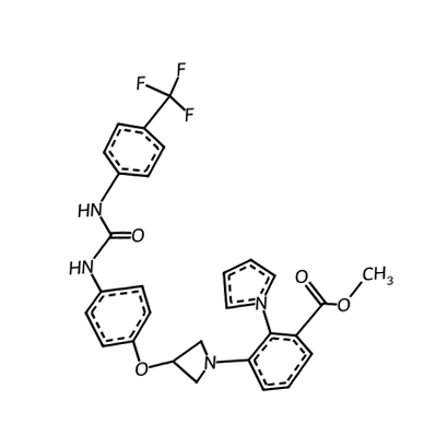 COC(=O)c1cccc(N2CC(Oc3ccc(NC(=O)Nc4ccc(C(F)(F)F)cc4)cc3)C2)c1-n1cccc1